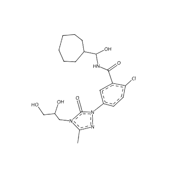 Cc1nn(-c2ccc(Cl)c(C(=O)NC(O)C3CCCCCC3)c2)c(=O)n1CC(O)CO